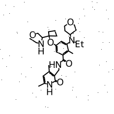 CCN(c1cc(OC2(C3COCCN3)CCC2)cc(C(=O)NCc2c(C)cc(C)[nH]c2=O)c1C)C1CCOCC1